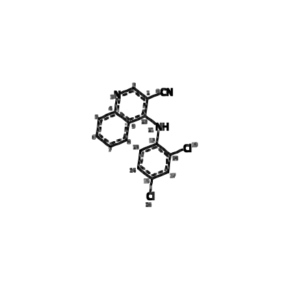 N#Cc1cnc2ccccc2c1Nc1ccc(Cl)cc1Cl